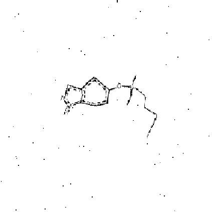 CCCC[Si](C)(C)Oc1ccc2[nH]ncc2c1